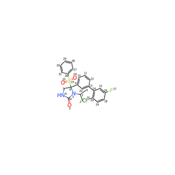 CC(C)N1C(=O)NCC1(c1cccc(-c2cc(F)ccc2Cl)c1)S(=O)(=O)c1ccccc1